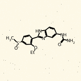 CCOc1cc([S+](C)[O-])ccc1-c1nc2cc(NC(N)=O)ccc2[nH]1